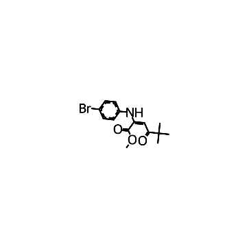 COC(=O)C(=CC(=O)C(C)(C)C)Nc1ccc(Br)cc1